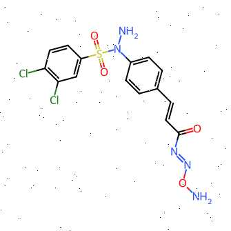 NON=NC(=O)/C=C/c1ccc(N(N)S(=O)(=O)c2ccc(Cl)c(Cl)c2)cc1